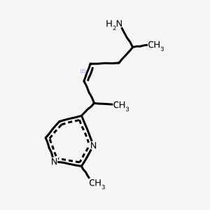 Cc1nccc(C(C)/C=C\CC(C)N)n1